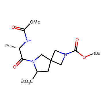 CCOC(=O)C1CC2(CN(C(=O)OC(C)(C)C)C2)CN1C(=O)[C@@H](NC(=O)OC)C(C)C